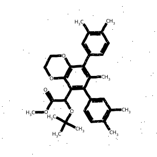 COC(=O)C(OC(C)(C)C)c1c2c(c(-c3ccc(C)c(C)c3)c(C)c1-c1ccc(C)c(C)c1)OCCO2